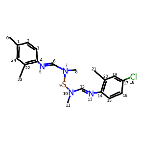 Cc1ccc(N=CN(C)SN(C)C=Nc2ccc(Cl)cc2C)c(C)c1